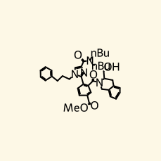 CCCCN(CCCC)C(=O)c1cn(CCCc2ccccc2)c(-c2ccc(C(=O)OC)cc2C(=O)N2Cc3ccccc3CC2CO)n1